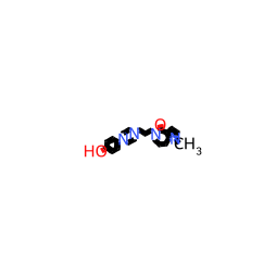 Cn1ccc2c1CCCN(CCCN1CCN(c3ccc(O)cc3)CC1)C2=O